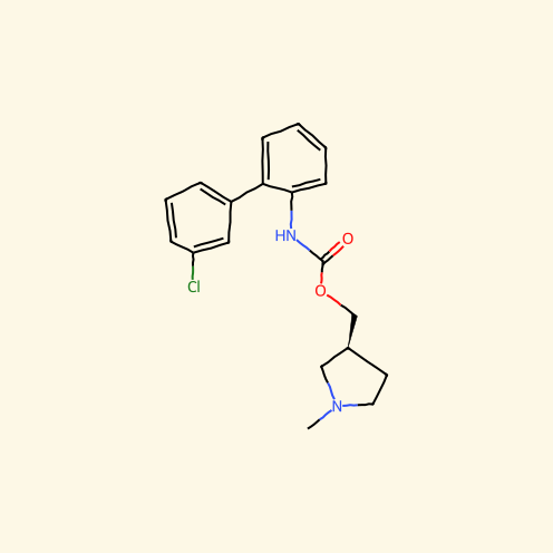 CN1CC[C@H](COC(=O)Nc2ccccc2-c2cccc(Cl)c2)C1